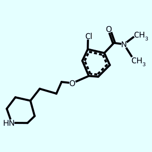 CN(C)C(=O)c1ccc(OCCCC2CCNCC2)cc1Cl